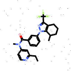 CCc1cc(N(C)C(=O)c2cccc(-n3nc(C(F)(F)F)c4c3C(C)CCC4)c2)ccn1